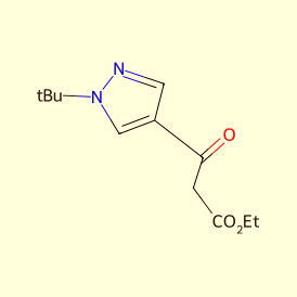 CCOC(=O)CC(=O)c1cnn(C(C)(C)C)c1